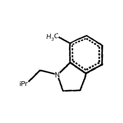 Cc1cccc2c1N(CC(C)C)CC2